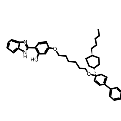 CCCCC[C@H]1CC[C@H](C2(OCCCCCCOc3ccc(-c4nc5ccccc5[nH]4)c(O)c3)C=CC(c3ccccc3)=CC2)CC1